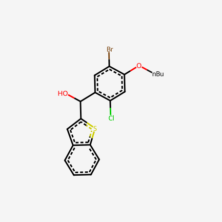 CCCCOc1cc(Cl)c(C(O)c2cc3ccccc3s2)cc1Br